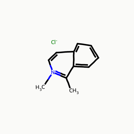 Cc1c2ccccc2cc[n+]1C.[Cl-]